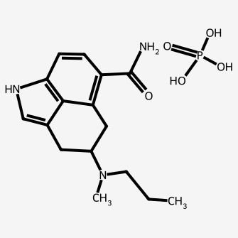 CCCN(C)C1Cc2c[nH]c3ccc(C(N)=O)c(c23)C1.O=P(O)(O)O